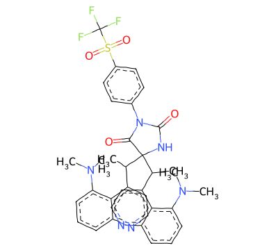 CC(c1ccnc2cccc(N(C)C)c12)C1(C(C)c2ccnc3cccc(N(C)C)c23)NC(=O)N(c2ccc(S(=O)(=O)C(F)(F)F)cc2)C1=O